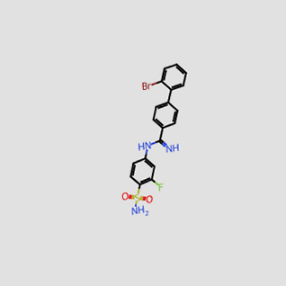 N=C(Nc1ccc(S(N)(=O)=O)c(F)c1)c1ccc(-c2ccccc2Br)cc1